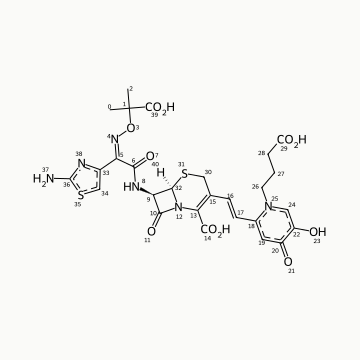 CC(C)(O/N=C(\C(=O)N[C@@H]1C(=O)N2C(C(=O)O)=C(C=Cc3cc(=O)c(O)cn3CCCC(=O)O)CS[C@H]12)c1csc(N)n1)C(=O)O